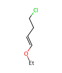 [CH2]COC=CCCCl